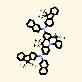 CC1(C)C2=C(CCC=C2)c2ccc(N(c3ccc4c(c3)C(C)(C)c3cc(N(c5ccc6c(c5)C(C)(C)C5=C6C=CCC5)c5ccc6ccccc6c5)cc5c3N4c3ccccc3C5(C)C)c3ccc4ccccc4c3)cc21